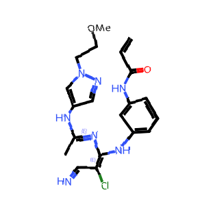 C=CC(=O)Nc1cccc(NC(/N=C(\C)Nc2cnn(CCOC)c2)=C(\Cl)C=N)c1